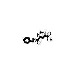 COC(=O)c1cc(C(=O)NCc2ccccc2)ncn1